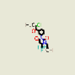 C#CCn1c(C(F)(F)F)cc(=O)n(-c2cccc(C(=O)C(C)Cl)c2)c1=O